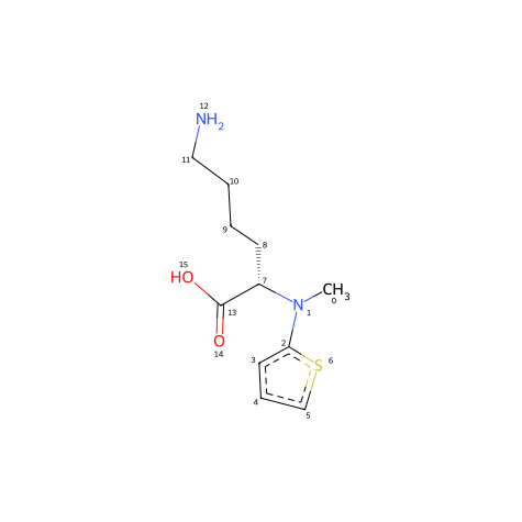 CN(c1cccs1)[C@@H](CCCCN)C(=O)O